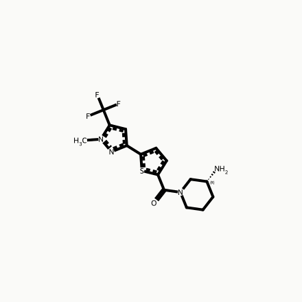 Cn1nc(-c2ccc(C(=O)N3CCC[C@@H](N)C3)s2)cc1C(F)(F)F